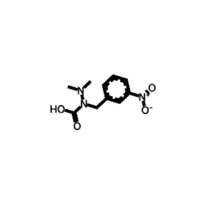 CN(C)N(Cc1cccc([N+](=O)[O-])c1)C(=O)O